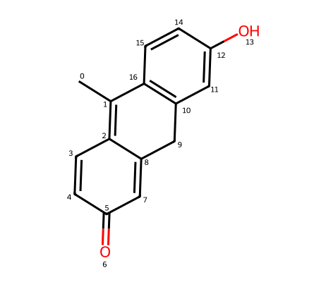 CC1=C2C=CC(=O)C=C2Cc2cc(O)ccc21